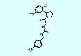 COc1ccc(Cl)c(C2CCCN2C(=O)CNC(=O)NCc2ccc(N)cc2)c1